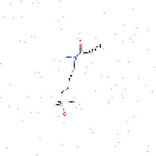 C=CC(=O)N(C)CCCC[Si](C)(C)[O]